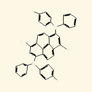 CC(C)c1cc(N(c2ccccc2)c2ccc(F)cc2)c2ccc3c(C(C)C)cc(N(c4ccccc4)c4ccc(F)cc4)c4ccc1c2c34